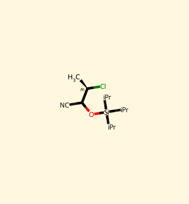 CC(C)[Si](OC(C#N)[C@@H](C)Cl)(C(C)C)C(C)C